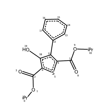 CC(C)OC(=O)c1sc(C(=O)OC(C)C)c(-c2ccccc2)c1O